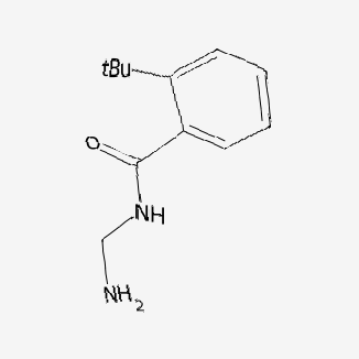 CC(C)(C)c1ccccc1C(=O)NCN